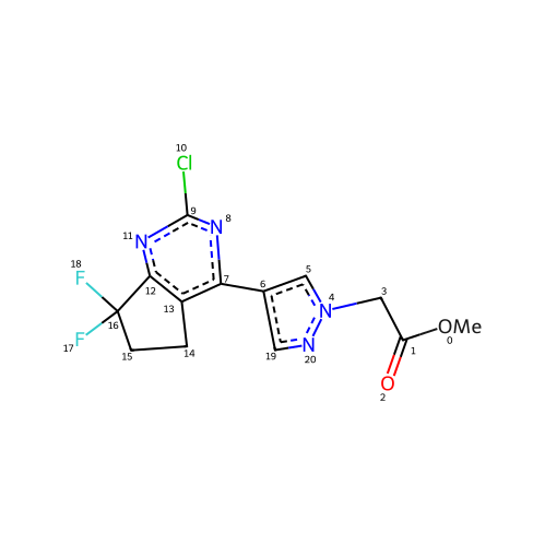 COC(=O)Cn1cc(-c2nc(Cl)nc3c2CCC3(F)F)cn1